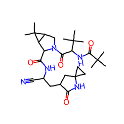 CC(C)(C)C(=O)NC(C(=O)N1CC2C(C1C(=O)NC(C#N)CC1CC3(CC3)NC1=O)C2(C)C)C(C)(C)C